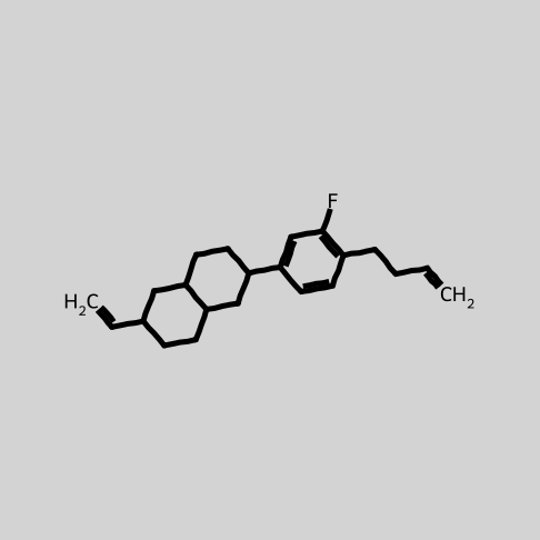 C=CCCc1ccc(C2CCC3CC(C=C)CCC3C2)cc1F